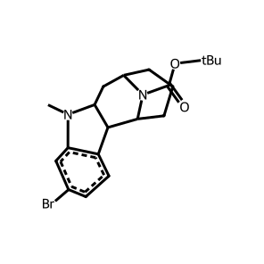 CN1c2cc(Br)ccc2C2C1CC1CCCC2N1C(=O)OC(C)(C)C